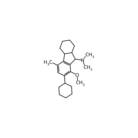 COc1c(C2CCCCC2)cc(C)c2c1C(N(C)C)C1CCCCC21